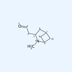 CN1C(CC=O)CC2CC1C2